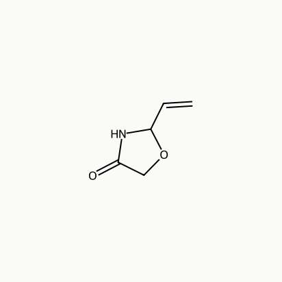 C=CC1NC(=O)CO1